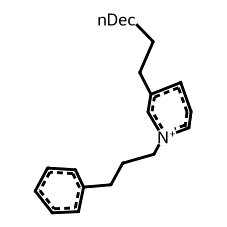 CCCCCCCCCCCCc1ccc[n+](CCCc2ccccc2)c1